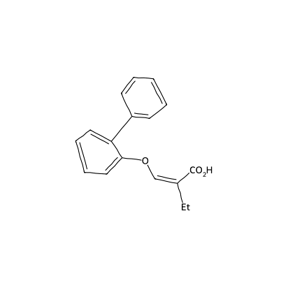 CCC(=COc1ccccc1-c1ccccc1)C(=O)O